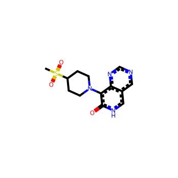 CS(=O)(=O)C1CCN(c2c(=O)[nH]cc3cncnc23)CC1